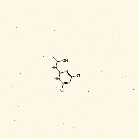 CC(O)NN1N=C(Cl)C=C(Cl)N1